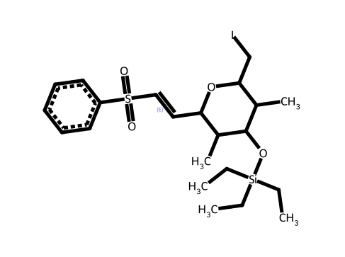 CC[Si](CC)(CC)OC1C(C)C(/C=C/S(=O)(=O)c2ccccc2)OC(CI)C1C